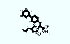 CCCC1CC(=O)N(C(Cc2ccc(-c3ccccc3)cc2)C(N)=O)C1